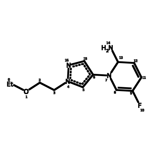 CCOCCn1cc(N2C=C(F)C=CC2N)cn1